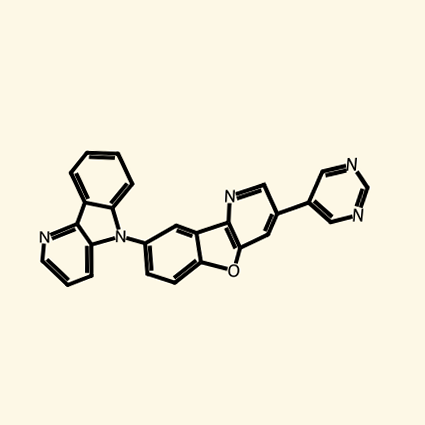 c1ccc2c(c1)c1ncccc1n2-c1ccc2oc3cc(-c4cncnc4)cnc3c2c1